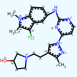 Cc1nn(-c2ccnc(Nc3ccc4c(c3)c(Cl)c(C)n4C)n2)cc1CCN1CCC(O)C1